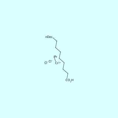 CCCCCCCCCCCCCCCCCC(=O)O.C[CH](C)[Cr+2].[Cl-].[Cl-]